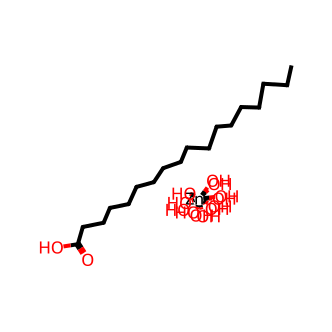 CCCCCCCCCCCCCCCCCC(=O)O.[OH][Zn]([OH])([OH])([OH])([OH])([OH])([OH])([OH])([OH])([OH])([OH])[OH]